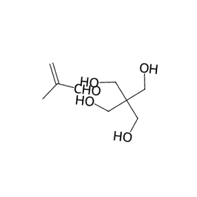 C=C(C)C=O.OCC(CO)(CO)CO